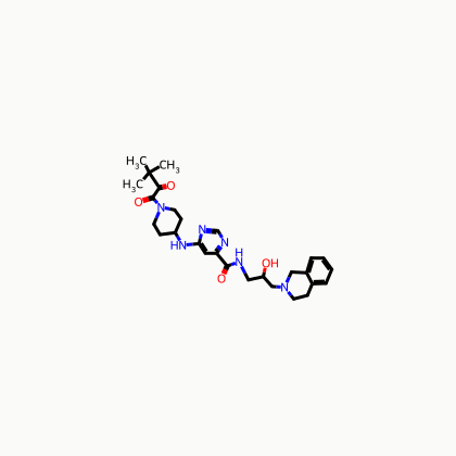 CC(C)(C)C(=O)C(=O)N1CCC(Nc2cc(C(=O)NCC(O)CN3CCc4ccccc4C3)ncn2)CC1